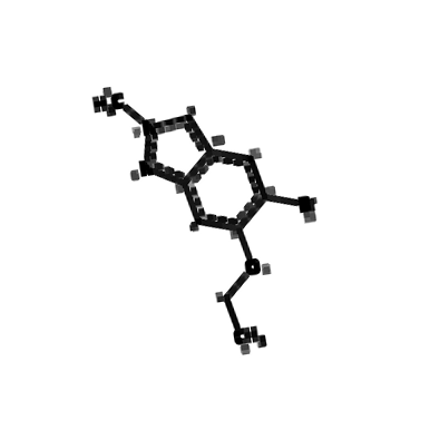 CCOc1cc2nn(C)cc2cc1Br